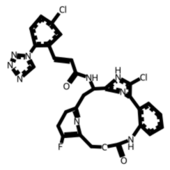 O=C(/C=C/c1cc(Cl)ccc1-n1cnnn1)NC1CC2=NC(=C(F)CC2)CCC(=O)Nc2ccccc2-c2nc1[nH]c2Cl